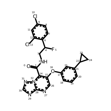 O=C(NCC(F)c1ccc(Cl)cc1Cl)c1c(Oc2cccc(C3CC3)c2)cnc2ncnn12